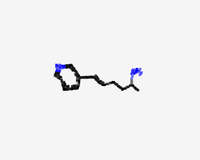 CC(N)CCC=Cc1cccnc1